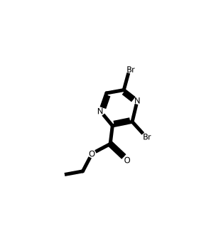 CCOC(=O)c1ncc(Br)nc1Br